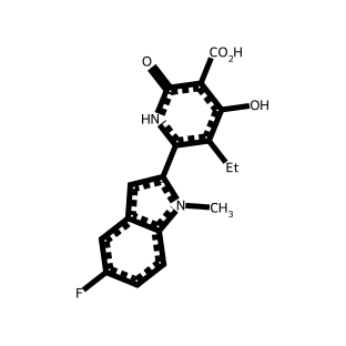 CCc1c(-c2cc3cc(F)ccc3n2C)[nH]c(=O)c(C(=O)O)c1O